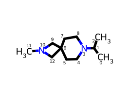 CC(C)N1CCC2(CC1)CN(C)C2